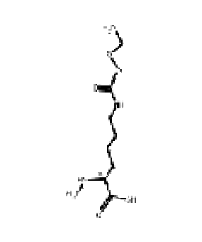 NCOOC(=O)NCCCC[C@H](NP)C(=O)S